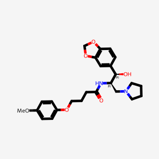 COc1ccc(OCCCC(=O)N[C@H](CN2CCCC2)[C@H](O)c2ccc3c(c2)OCO3)cc1